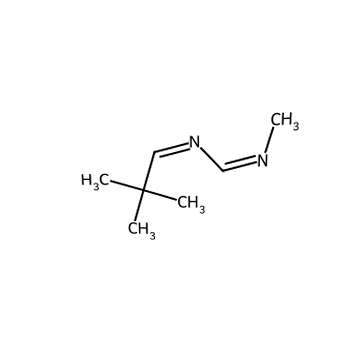 C/N=C\N=C/C(C)(C)C